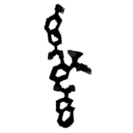 COC(=O)c1cc(OC(=O)c2ccc3ccccc3c2)ccc1OC(=O)c1ccc2cc(O)ccc2c1